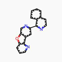 c1ccc2c(-c3cc4c(cn3)oc3cccnc34)nccc2c1